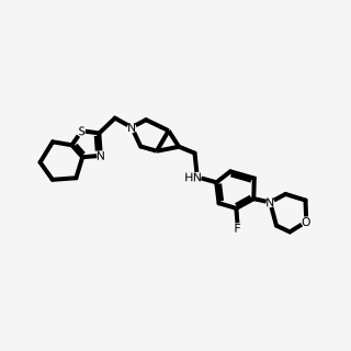 Fc1cc(NCC2C3CN(Cc4nc5c(s4)CCCC5)CC23)ccc1N1CCOCC1